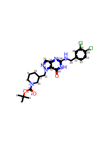 CC(C)(C)OC(=O)N1CCCC(Cn2ncc3nc(NCc4ccc(Cl)c(Cl)c4)[nH]c(=O)c32)C1